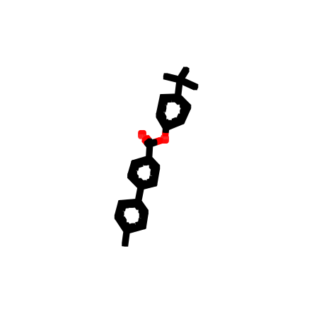 Cc1ccc(-c2ccc(C(=O)Oc3ccc(C(C)(C)C)cc3)cc2)cc1